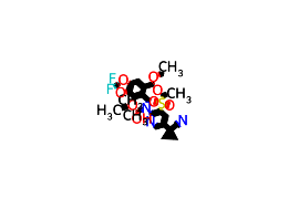 CCOC(=O)c1cc2c(cc1CN(c1ncc(C3(C#N)CC3)cc1S(=O)(=O)CC)C(O)OC(C)(C)C)OC(F)(F)O2